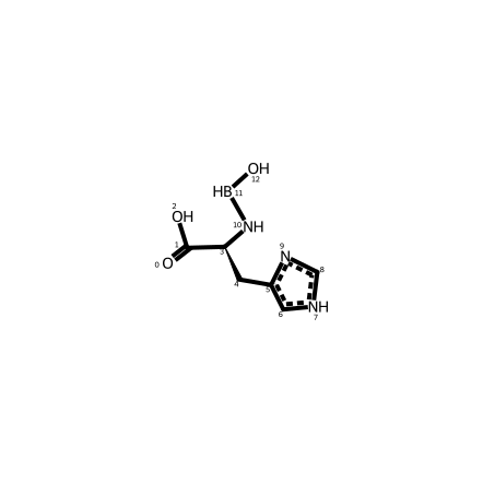 O=C(O)[C@H](Cc1c[nH]cn1)NBO